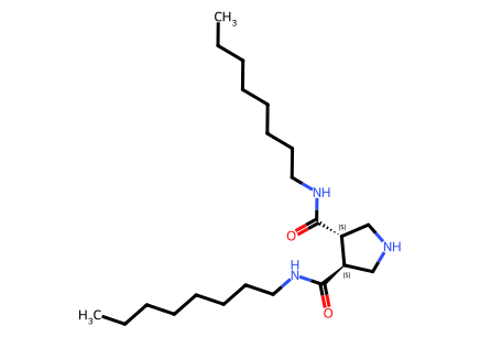 CCCCCCCCNC(=O)[C@@H]1CNC[C@H]1C(=O)NCCCCCCCC